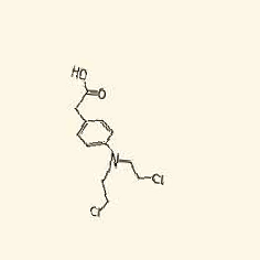 O=C(O)Cc1ccc(N(CCCl)CCCl)cc1